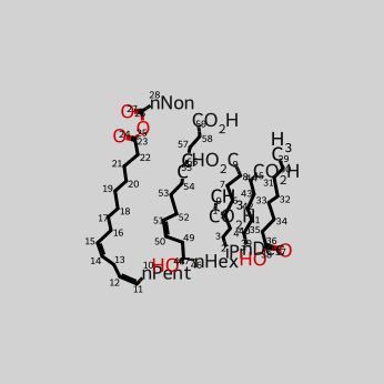 CC(=O)O.CC(C)CCCCCCC(=O)O.CCCCC/C=C\C/C=C\CCCCCCCC(=O)OC(=O)CCCCCCCCC.CCCCCCCC(=O)O.CCCCCCCCCCCCCCCC(=O)O.CCCCCC[C@@H](O)C/C=C\CCCCCCCC(=O)O